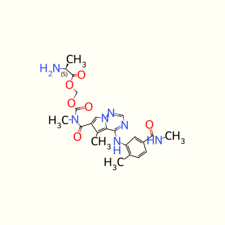 CNC(=O)c1ccc(C)c(Nc2ncnn3cc(C(=O)N(C)C(=O)OCOC(=O)[C@H](C)N)c(C)c23)c1